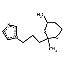 CC1CCSC(C)(CCCn2ccnc2)S1